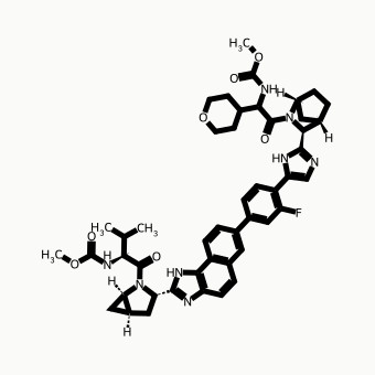 COC(=O)NC(C(=O)N1[C@@H]2CC[C@@H](C2)[C@H]1c1ncc(-c2ccc(-c3ccc4c(ccc5nc([C@@H]6C[C@H]7C[C@H]7N6C(=O)[C@@H](NC(=O)OC)C(C)C)[nH]c54)c3)cc2F)[nH]1)C1CCOCC1